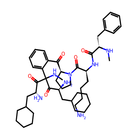 CN[C@@H](Cc1ccccc1)C(=O)N[C@@H](CCCCN)C(=O)N1CCC[C@H]1C(=O)c1ccccc1C(NC)(C(=O)[C@H](N)CC1CCCCC1)C(=O)[C@@H](N)CC1CCCCC1